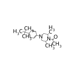 CC(=O)N1C(C)CN(c2ccc(C(C)(C)C)cc2)CC1C